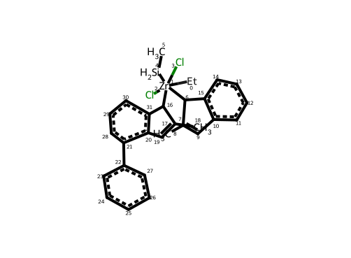 C[CH2][Zr]([Cl])([Cl])([SiH2]C)([CH]1C(C)=Cc2ccccc21)[CH]1C(C)=Cc2c(-c3ccccc3)cccc21